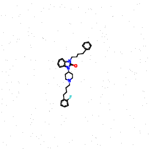 O=c1n(CCCCc2ccccc2)c2ccccc2n1C1CCN(CCCCc2ccccc2F)CC1